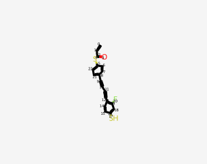 C=CC(=O)Sc1ccc(C#CC#Cc2ccc(S)cc2F)cc1